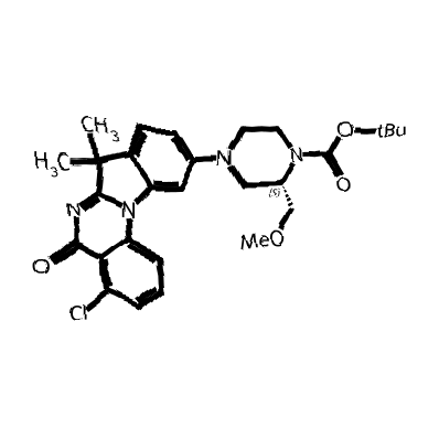 COC[C@@H]1CN(c2ccc3c(c2)-n2c(nc(=O)c4c(Cl)cccc42)C3(C)C)CCN1C(=O)OC(C)(C)C